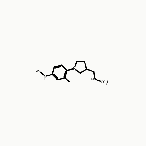 CC(C)Nc1ccc(N2CCC(CNC(=O)O)C2)c(F)c1